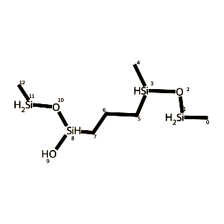 C[SiH2]O[SiH](C)CCC[SiH](O)O[SiH2]C